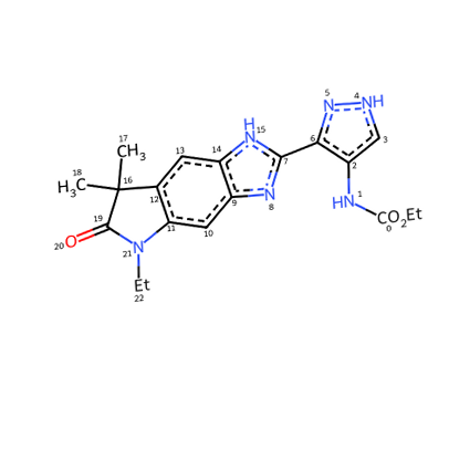 CCOC(=O)Nc1c[nH]nc1-c1nc2cc3c(cc2[nH]1)C(C)(C)C(=O)N3CC